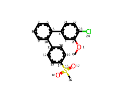 COc1cc(-c2ccccc2-c2ccc(S(C)(=O)=O)cc2)ccc1Cl